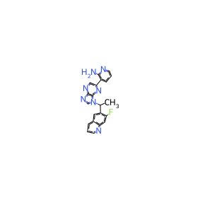 CC(c1cc2cccnc2cc1F)n1cnc2ncc(-c3cccnc3N)nc21